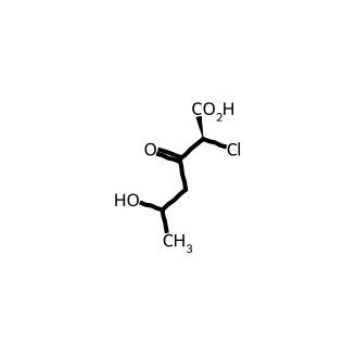 CC(O)CC(=O)[C@H](Cl)C(=O)O